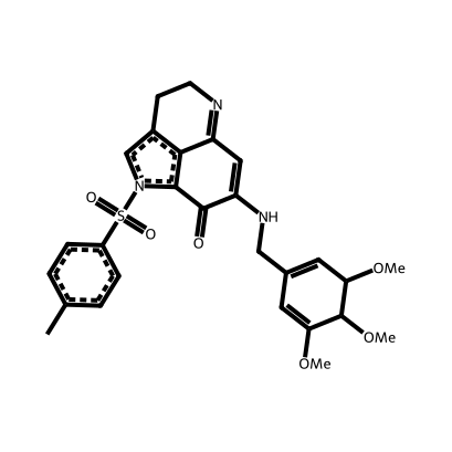 COC1=CC(CNC2=CC3=NCCc4cn(S(=O)(=O)c5ccc(C)cc5)c(c43)C2=O)=CC(OC)C1OC